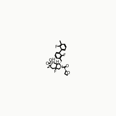 Cc1cccc(-c2cccc(C[C@H]3[C@H]4NS(=O)(=O)N(C)CC4(F)CN3C(=O)[C@@H]3CCO3)c2F)c1F